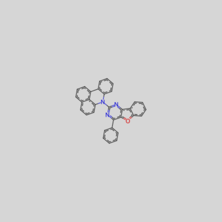 c1ccc(-c2nc(N3c4ccccc4-c4cccc5cccc3c45)nc3c2oc2ccccc23)cc1